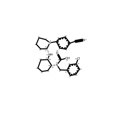 N#Cc1ccc(N2CCCC[C@H]2N[C@@H]2CCCC[C@H]2N(Cc2cccc(Cl)c2)C(=O)O)cc1